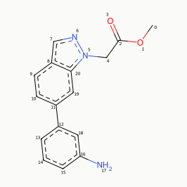 COC(=O)Cn1ncc2ccc(-c3cccc(N)c3)cc21